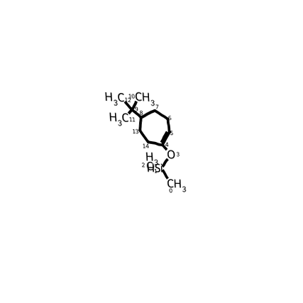 C[SiH](C)OC1=CCCC(C(C)(C)C)CC1